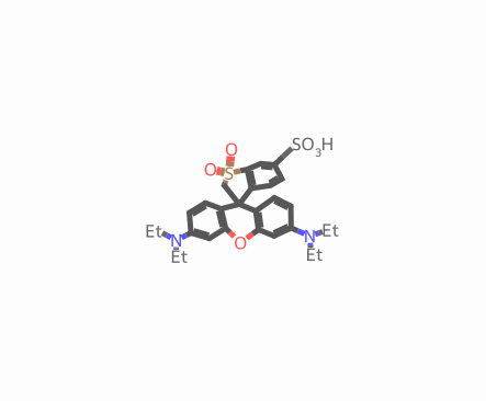 CCN(CC)c1ccc2c(c1)Oc1cc(N(CC)CC)ccc1C21CS(=O)(=O)c2cc(S(=O)(=O)O)ccc21